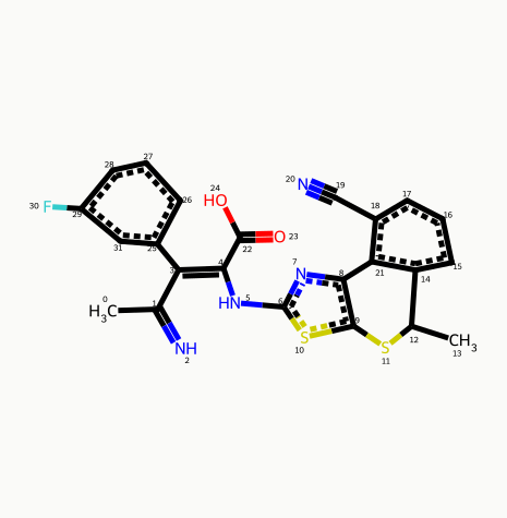 CC(=N)/C(=C(\Nc1nc2c(s1)SC(C)c1cccc(C#N)c1-2)C(=O)O)c1cccc(F)c1